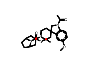 CCOC(=O)N1C2CCC1CC(N1CCC3(CC1)CN(C(C)=O)c1ccc(OC)cc13)C2